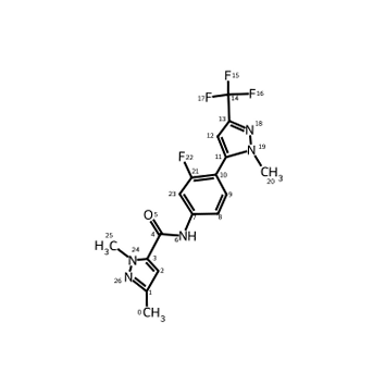 Cc1cc(C(=O)Nc2ccc(-c3cc(C(F)(F)F)nn3C)c(F)c2)n(C)n1